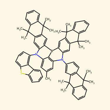 Cc1cc2c3c(c1)N(c1cccc4sc5ccccc5c14)c1cc4c(cc1B3c1cc3c(cc1N2c1ccc2c(c1)C(C)(C)c1ccccc1C2(C)C)C(C)(C)c1ccccc1C3(C)C)C(C)(C)c1ccccc1C4(C)C